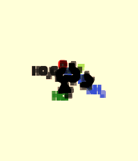 Cc1c(F)c(N2CCC(N)C2)cc2c(C3CC3)cc(C(=O)O)c(=O)n12.Cl